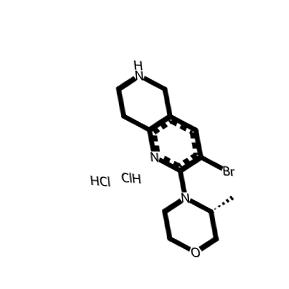 C[C@@H]1COCCN1c1nc2c(cc1Br)CNCC2.Cl.Cl